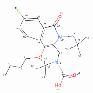 CCCCOc1c(CN(C(=O)O)C(C)(C)C)n(CC(C)(C)C)c(=O)c2cc(F)ccc12